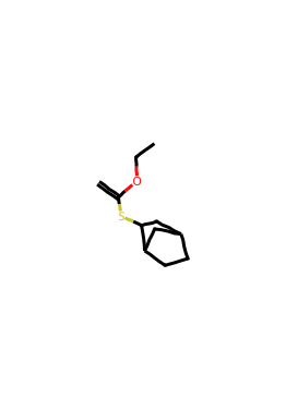 C=C(OCC)SC1CC2CCC1C2